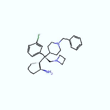 N[C@H]1CCC[C@@H]1[C@](CN1CCC1)(c1cccc(F)c1)C1CCN(Cc2ccccc2)CC1